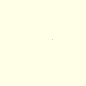 CCCS(=O)(=O)O.CN(C)Cc1ccccc1